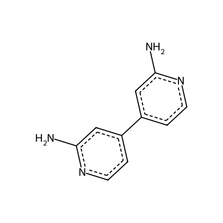 Nc1cc(-c2ccnc(N)c2)ccn1